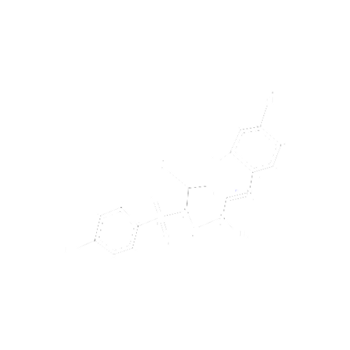 Cc1ccc(S(=O)(=O)N(SN(C)/C=N/c2ccc(Cl)cc2C)C(C)C)cc1